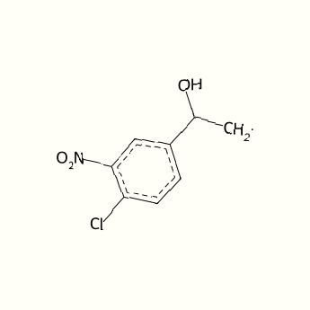 [CH2]C(O)c1ccc(Cl)c([N+](=O)[O-])c1